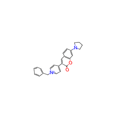 O=c1oc2cc(N3CCCC3)ccc2cc1-c1cc[n+](Cc2ccccc2)cc1